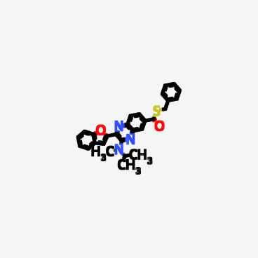 CC(C)N(C)c1nc2cc(C(=O)SCc3ccccc3)ccc2nc1-c1cc2ccccc2o1